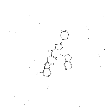 O=C(Cc1nc2c(C(F)(F)F)cccc2[nH]1)NC1CN(C2CCOCC2)C[C@@H]1CC1CCc2ccncc21